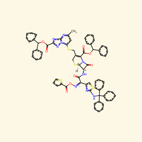 Cc1cc(SCC2=C(C(=O)OC(c3ccccc3)c3ccccc3)N3C(=O)[C@@H](NC(=O)/C(=N\OC(=O)c4cccs4)c4csc(NC(c5ccccc5)(c5ccccc5)c5ccccc5)n4)[C@H]3SC2)n2nc(C(=O)OC(c3ccccc3)c3ccccc3)nc2n1